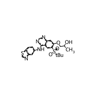 CC(O)COc1cc2ncnc(Nc3ccc4scnc4c3)c2cc1S(=O)(=O)C(C)(C)C